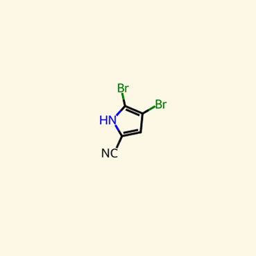 N#Cc1cc(Br)c(Br)[nH]1